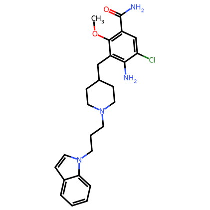 COc1c(C(N)=O)cc(Cl)c(N)c1CC1CCN(CCCn2ccc3ccccc32)CC1